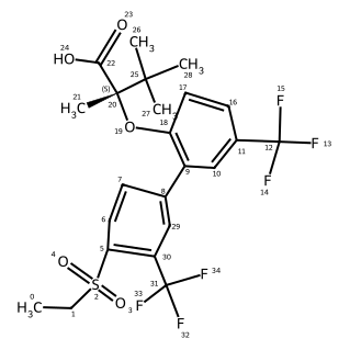 CCS(=O)(=O)c1ccc(-c2cc(C(F)(F)F)ccc2O[C@](C)(C(=O)O)C(C)(C)C)cc1C(F)(F)F